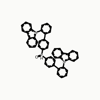 O=[PH](c1ccc(-c2ccccc2-n2c3ccccc3c3ccccc32)cc1)c1ccc(-c2ccccc2-n2c3ccccc3c3ccccc32)cc1